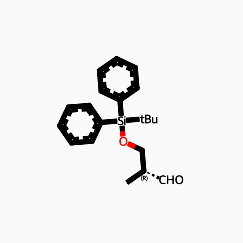 C[C@@H](C=O)CO[Si](c1ccccc1)(c1ccccc1)C(C)(C)C